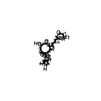 CC[C@H](O)[C@@H](C)[C@H]1O[C@@H]1C[C@@](C)(O)/C=C/C=C(\C)C1OC(=O)CC(O)CCC(C)(OC(C)=O)C(OC(=O)N2C[C@@H]3C[C@H]2CN3)C=CC1C